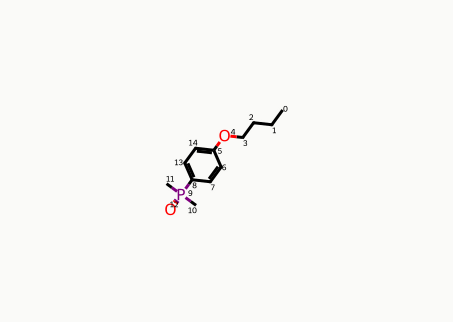 CCCCOc1ccc(P(C)(C)=O)cc1